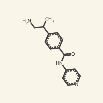 CC(CN)c1ccc(C(=O)Nc2ccncc2)cc1